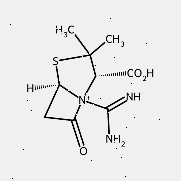 CC1(C)S[C@@H]2CC(=O)[N+]2(C(=N)N)[C@H]1C(=O)O